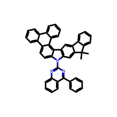 CC1(C)c2ccccc2-c2cc3c4c5c6ccccc6c6ccccc6c5ccc4n(-c4nc(-c5ccccc5)c5ccccc5n4)c3cc21